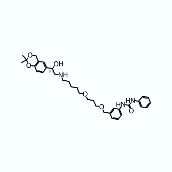 CC1(C)OCc2cc([C@@H](O)CNCCCCCOCCCOCc3cccc(NC(=O)Nc4ccccc4)c3)ccc2O1